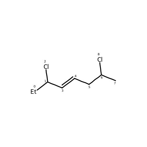 CCC(Cl)C=CCC(C)Cl